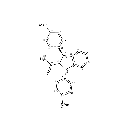 COc1ccc([C@H]2c3ccccc3[C@H](c3ccc(OC)cc3)C2C(N)=O)cc1